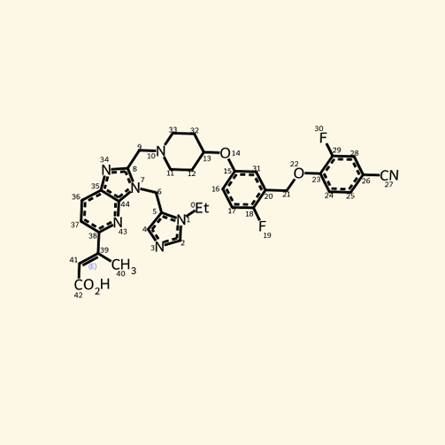 CCn1cncc1Cn1c(CN2CCC(Oc3ccc(F)c(COc4ccc(C#N)cc4F)c3)CC2)nc2ccc(/C(C)=C/C(=O)O)nc21